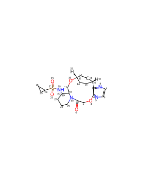 O=C1COc2nccnc2[C@H]2CC[C@H](CC2)OCC2[C@@H](NS(=O)(=O)C3CC3)CCCN12